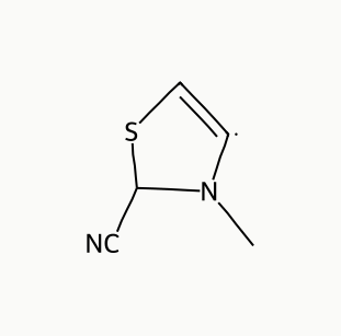 CN1[C]=CSC1C#N